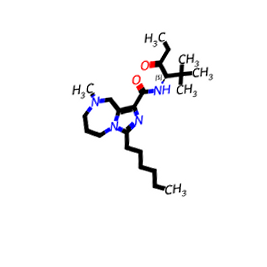 CCCCCCc1nc(C(=O)N[C@H](C(=O)CC)C(C)(C)C)c2n1CCCN(C)C2